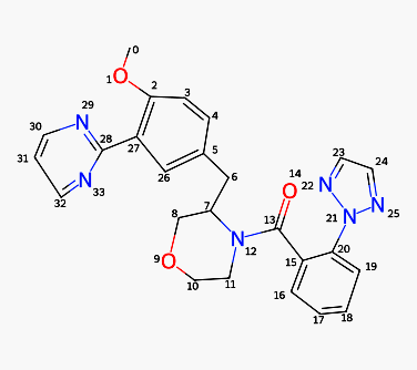 COc1ccc(CC2COCCN2C(=O)c2ccccc2-n2nccn2)cc1-c1ncccn1